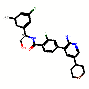 CC1C=C(Cl)C=C([C@@H](CO)NC(=O)c2ccc(-c3cc(C4CCSCC4)cnc3N)cc2F)C1